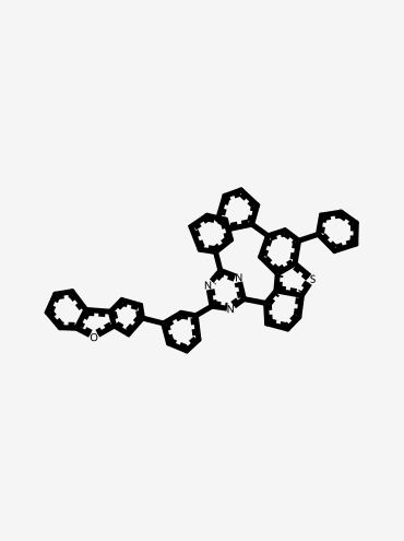 c1ccc(-c2cc(-c3ccccc3)c3sc4cccc(-c5nc(-c6ccccc6)nc(-c6cccc(-c7ccc8c(c7)oc7ccccc78)c6)n5)c4c3c2)cc1